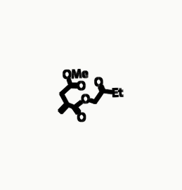 C=C(CC(=O)OC)C(=O)OCC(=O)CC